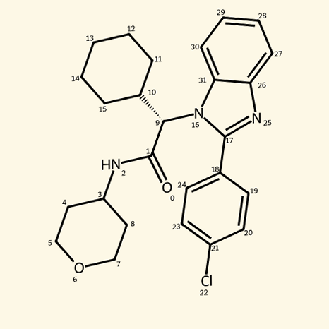 O=C(NC1CCOCC1)[C@H](C1CCCCC1)n1c(-c2ccc(Cl)cc2)nc2ccccc21